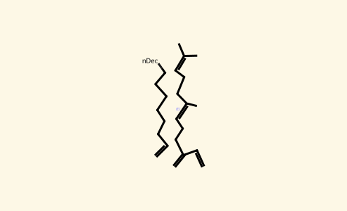 C=CC(=C)CC/C=C(\C)CCC=C(C)C.C=CCCCCCCCCCCCCCCCC